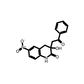 O=C(CC1(O)Cc2cc([N+](=O)[O-])ccc2NC1=O)c1ccccc1